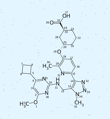 COc1cc(C2CCC2)nc(NCc2c(-c3ccc(O[C@H]4CCC[C@H](C(=O)O)C4)c(C)n3)nnn2C)n1